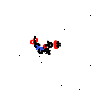 CCOC(=O)C1CCN(c2cccc(-c3cc(C)ccc3OCc3ccc(B4OC(C)(C)C(C)(C)O4)cc3C)n2)CC1